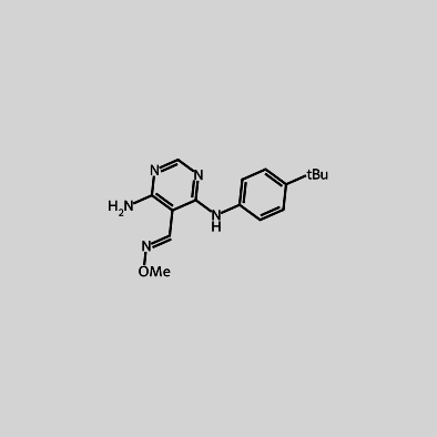 CON=Cc1c(N)ncnc1Nc1ccc(C(C)(C)C)cc1